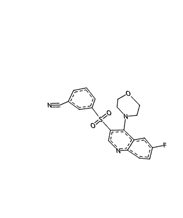 N#Cc1cccc(S(=O)(=O)c2cnc3ccc(F)cc3c2N2CCOCC2)c1